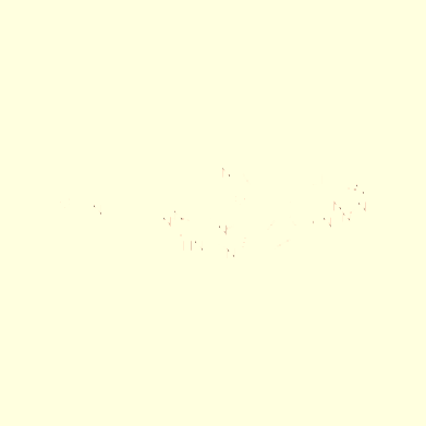 CC(Cn1cnnn1)Oc1cc(-c2cnc(Nc3cn(C4CCC(N5CCOCC5)CC4)nc3OCc3ncco3)nc2)ccc1C#N